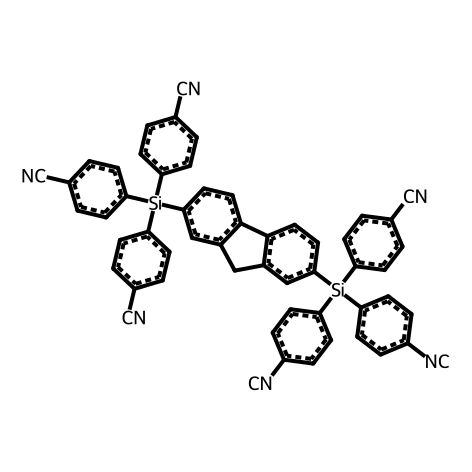 [C-]#[N+]c1ccc([Si](c2ccc(C#N)cc2)(c2ccc([N+]#[C-])cc2)c2ccc3c(c2)Cc2cc([Si](c4ccc(C#N)cc4)(c4ccc(C#N)cc4)c4ccc(C#N)cc4)ccc2-3)cc1